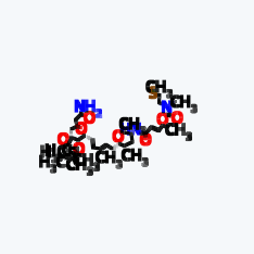 CSCCN(C)C(=O)OC(C)C=CC(=O)N[C@@H]1C[C@H](C)[C@H](CC=C(C)C=C[C@H]2O[C@H](CC(N)=O)C[C@@]3(CO3)[C@@H]2O[Si](C)(C)C(C)(C)C)O[C@@H]1C